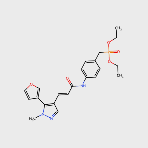 CCOP(=O)(Cc1ccc(NC(=O)C=Cc2cnn(C)c2-c2ccoc2)cc1)OCC